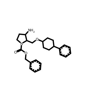 NC1CCN(C(=O)OCc2ccccc2)C1COC1CCC(c2ccccc2)CC1